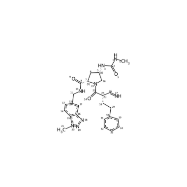 CNC(=O)N[C@H]1C[C@@H](C(=O)NCc2ccc3c(c2)nnn3C)N(C(=O)[C@H](C=N)CCc2ccccc2)C1